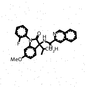 COc1ccc2c(c1)N(c1ccccc1F)C(=O)C2(NC(=O)c1cc2ccccc2cn1)C(C)C(=O)O